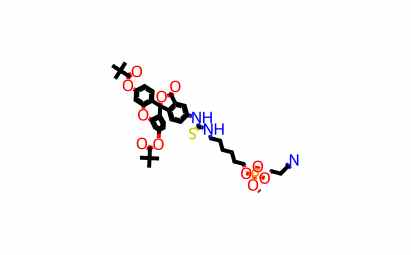 COP(=O)(OCCC#N)OCCCCCCNC(=S)Nc1ccc2c(c1)C(=O)OC21c2ccc(OC(=O)C(C)(C)C)cc2Oc2cc(OC(=O)C(C)(C)C)ccc21